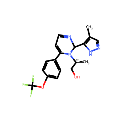 Cc1cn[nH]c1C1N=CC=C(c2ccc(OC(F)(F)F)cc2)N1[C@@H](C)CO